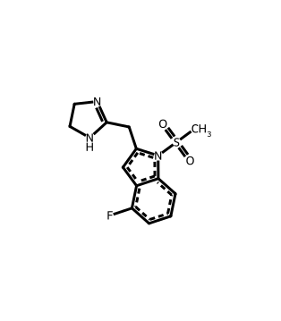 CS(=O)(=O)n1c(CC2=NCCN2)cc2c(F)cccc21